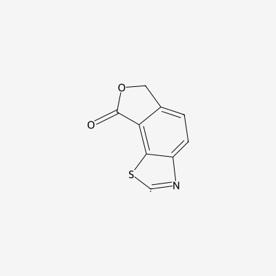 O=C1OCc2ccc3n[c]sc3c21